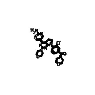 Nc1ncc(-c2nc(N3CCOCC3)nc3c2CCN3c2ccc(C(=O)N3CCOCC3)cc2Cl)cn1